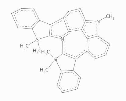 Cn1c2cccc3c4c(n5c6c(c7ccc1c(c32)c75)-c1ccccc1[Si]6(C)C)[Si](C)(C)c1ccccc1-4